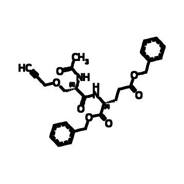 C#CCOC[C@H](NC(C)=O)C(=O)N[C@H](CCC(=O)OCc1ccccc1)C(=O)OCc1ccccc1